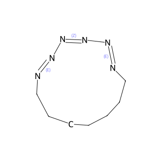 C1CCC/N=N/N=N\N=N\CCC1